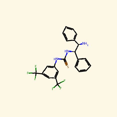 N[C@H](c1ccccc1)[C@H](NC(=S)Nc1cc(C(F)(F)F)cc(C(F)(F)F)c1)c1ccccc1